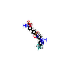 O=c1[nH]c2ccc(-c3ccc(S(=O)(=O)N4CCC(Nc5ccc(C(F)(F)F)cn5)CC4)cc3)cc2o1